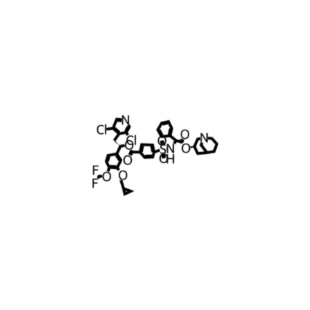 O=C(O[C@@H](Cc1c(Cl)cncc1Cl)c1ccc(OC(F)F)c(OCC2CC2)c1)c1ccc(S(=O)(=O)NC(C(=O)O[C@@H]2CC3CCCN(C3)C2)c2ccccc2)cc1